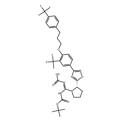 CC(C)(C)OC(=O)N/C(=N\C(=O)O)N1CCC[C@H]1c1nc(-c2ccc(OCCCc3ccc(C(F)(F)F)cc3)c(C(F)(F)F)c2)no1